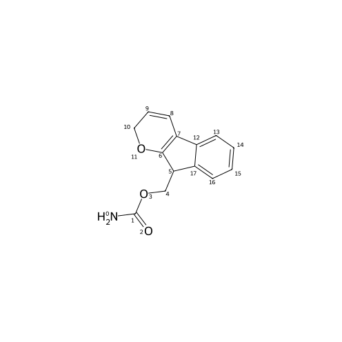 NC(=O)OCC1C2=C(C=CCO2)c2ccccc21